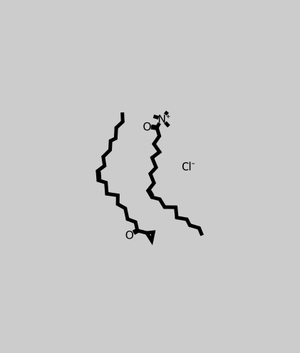 CCCCCCCC/C=C\CCCCCCCC(=O)C1CC1.CCCCCCCC/C=C\CCCCCCCC(=O)[N+](C)(C)C.[Cl-]